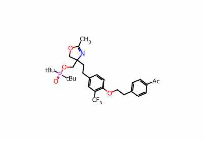 CC(=O)c1ccc(CCOc2ccc(CCC3(COP(=O)(C(C)(C)C)C(C)(C)C)COC(C)=N3)cc2C(F)(F)F)cc1